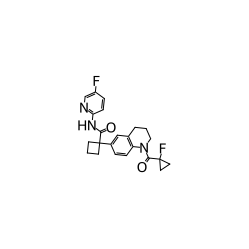 O=C(N1CCCc2cc(C3(C(=O)Nc4ccc(F)cn4)CCC3)ccc21)C1(F)CC1